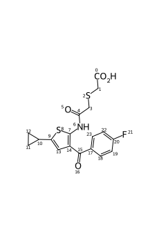 O=C(O)CSCC(=O)Nc1sc(C2CC2)cc1C(=O)c1ccc(F)cc1